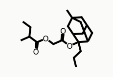 CCCC1(OC(=O)COC(=O)C(C)CC)C2CC3CC1CC(C)(C3)C2